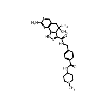 CN1CCC(NC(=O)c2ccc(CNC(=O)c3n[nH]c4c3C(C)(C)Cc3cnc(N)nc3-4)cc2)CC1